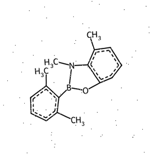 Cc1cccc(C)c1B1Oc2cccc(C)c2N1C